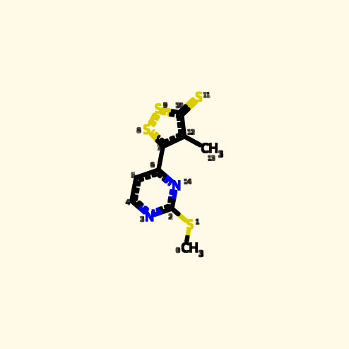 CSc1nccc(-c2ssc(=S)c2C)n1